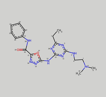 CCc1nc(NCCN(C)C)nc(Nc2nnc(C(=O)Nc3ccccc3)o2)n1